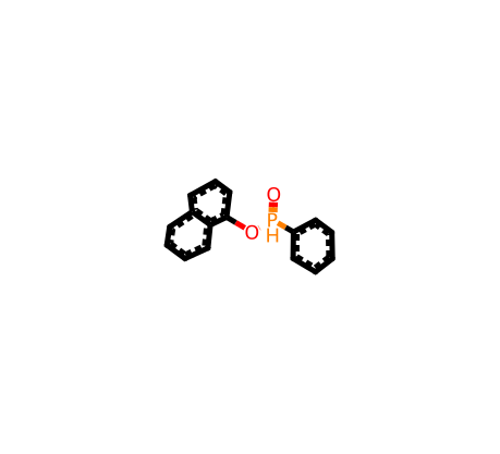 O=[PH](Oc1cccc2ccccc12)c1ccccc1